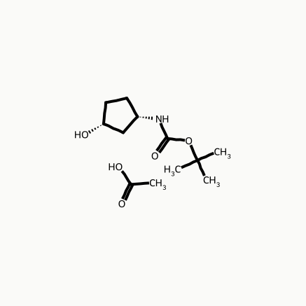 CC(=O)O.CC(C)(C)OC(=O)N[C@H]1CC[C@@H](O)C1